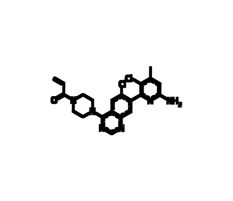 C=CC(=O)N1CCN(c2ncnc3cc(-c4nc(N)cc(C)c4Cl)c(Cl)cc23)CC1